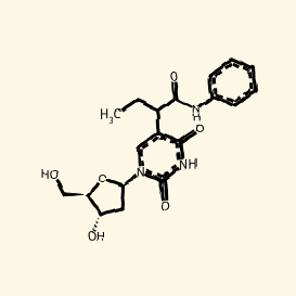 CCC(C(=O)Nc1ccccc1)c1cn([C@H]2C[C@H](O)[C@@H](CO)O2)c(=O)[nH]c1=O